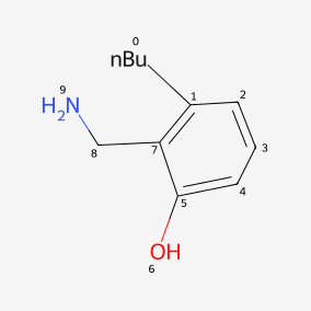 CCCCc1cccc(O)c1CN